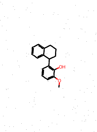 COc1cc[c]c(C2CCCc3ccccc32)c1O